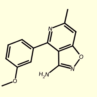 COc1cccc(-c2nc(C)cc3onc(N)c23)c1